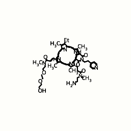 CCC1=C(C)c2cc3[nH]c(cc4nc(c5c6[nH]c(cc1n2)c(C)c6C(=O)N(CCc1ccncc1)C5=O)[C@@H](CCC(=O)N(C)CCN)[C@@H]4C)c(C)c3/C=C/C(=O)N(C)CCOCCOCCO